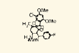 CNC(c1ccc(F)cc1)C1C(=O)[C@@]2(Oc3c(Cl)c(OC)cc(OC)c3C2=O)[C@H](C)CC1N